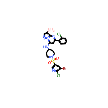 Bc1cnn2c(NC3CCN(S(=O)(=O)c4cnc(Cl)c(Br)c4)CC3)cc(-c3ccccc3Cl)nc12